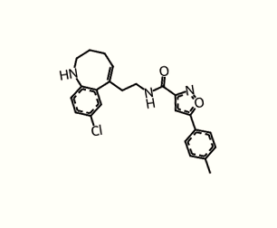 Cc1ccc(-c2cc(C(=O)NCC/C3=C/CCCNc4ccc(Cl)cc43)no2)cc1